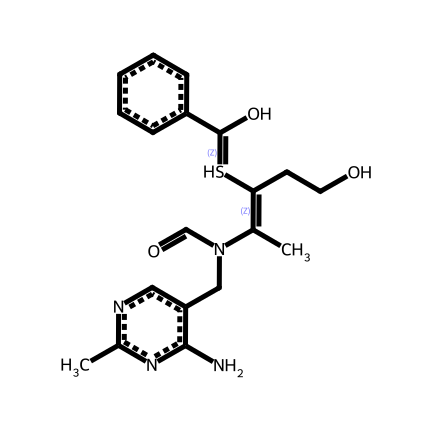 C/C(=C(CCO)/[SH]=C(\O)c1ccccc1)N(C=O)Cc1cnc(C)nc1N